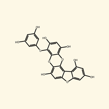 Oc1cc(O)cc(Oc2c(O)cc(O)c3c2Oc2c(O)cc4oc5cc(O)cc(O)c5c4c2O3)c1